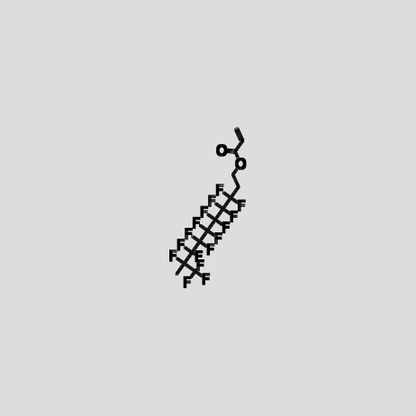 C=CC(=O)OCCC(F)(F)C(F)(F)C(F)(F)C(F)(F)C(F)(F)C(F)(F)C(C)(F)C(F)(F)F